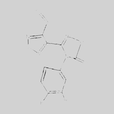 O=Cc1nonc1-c1noc(=O)n1-c1ccc(F)c(Br)c1